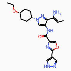 C/C=C(\N)c1nn([C@H]2CC[C@H](OCC)CC2)cc1NC(=O)c1coc(-c2cn[nH]c2)n1